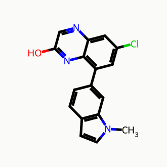 Cn1ccc2ccc(-c3cc(Cl)cc4ncc(O)nc34)cc21